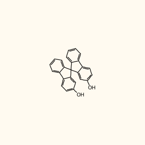 Oc1ccc2c(c1)C1(c3ccccc3-2)c2ccccc2-c2ccc(O)cc21